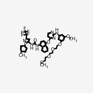 COCCOCCOCCOc1cc(Nc2nccc(Oc3ccc(NC(=O)Nc4cc(C(F)(F)C(F)(F)F)nn4-c4ccc(C)cc4)c4ccccc34)n2)cc(OC)c1